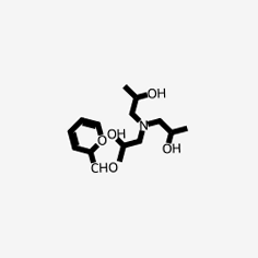 CC(O)CN(CC(C)O)CC(C)O.O=CC1C=CC=CO1